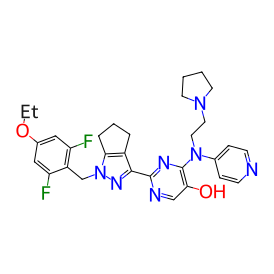 CCOc1cc(F)c(Cn2nc(-c3ncc(O)c(N(CCN4CCCC4)c4ccncc4)n3)c3c2CCC3)c(F)c1